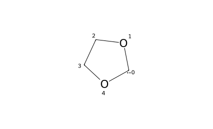 [C]1OCCO1